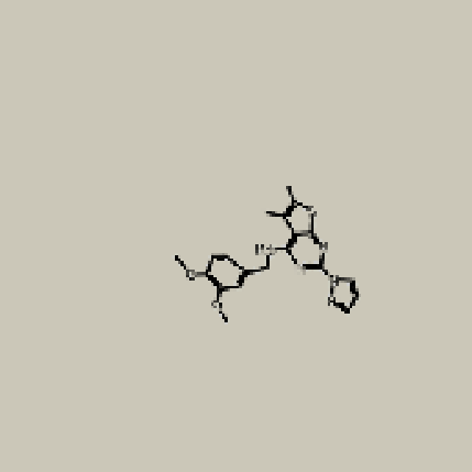 COc1ccc(CNc2nc(-n3cccn3)nc3sc(C)c(C)c23)cc1OC